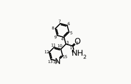 NC(=O)C(c1ccccc1)c1cccnc1